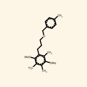 COc1c(C)c(C)c(OC)c(CCCOCc2ccc(C)cc2)c1C